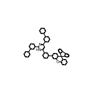 C1=C(c2cccc(-c3ccc4c(c3)Oc3ccccc3C43c4ccccc4-c4ccccc43)c2)NC(c2cccc(-c3ccccc3)c2)N=C1c1cccc(-c2ccccc2)c1